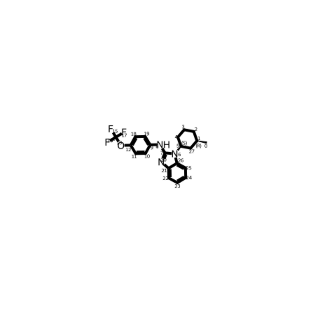 C[C@@H]1CCC[C@H](n2c(Nc3ccc(OC(F)(F)F)cc3)nc3ccccc32)C1